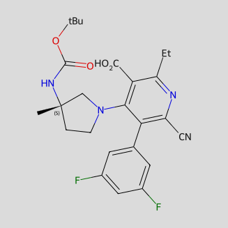 CCc1nc(C#N)c(-c2cc(F)cc(F)c2)c(N2CC[C@](C)(NC(=O)OC(C)(C)C)C2)c1C(=O)O